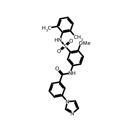 COc1ccc(NC(=O)c2cccc(-n3ccnc3)c2)cc1S(=O)(=O)Nc1c(C)cccc1C